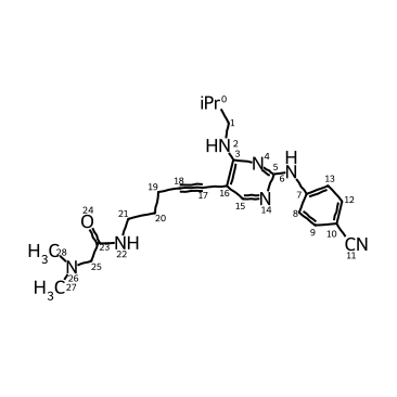 CC(C)CNc1nc(Nc2ccc(C#N)cc2)ncc1C#CCCCNC(=O)CN(C)C